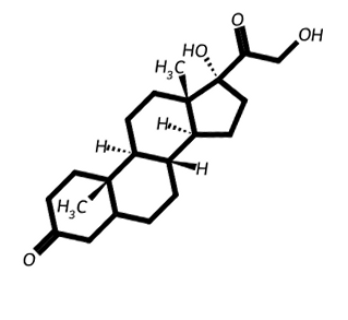 C[C@]12CCC(=O)CC1CC[C@@H]1[C@@H]2CC[C@@]2(C)[C@H]1CC[C@]2(O)C(=O)CO